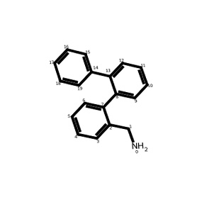 NCc1ccccc1-c1ccccc1-c1ccccc1